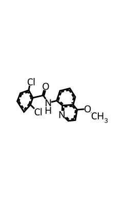 COc1ccnc2c(NC(=O)c3c(Cl)cccc3Cl)cccc12